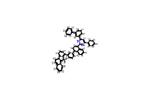 CC1(C)c2c(-c3cccc(-c4ccc(-c5nc(-c6ccccc6)cc(-c6cccc(-c7ccccc7)c6)n5)c5ccccc45)c3)cccc2-c2ccc3ccccc3c21